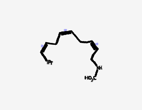 CC(C)/C=C\C/C=C\C/C=C\CNC(=O)O